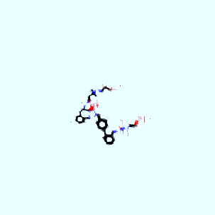 CC(C)(CC(=O)N[C@@H]1Cc2cc(F)ccc2CN(Cc2ccc(-c3ccccc3CNC(=O)NCCO)cc2)C1=O)NC[C@H](O)CO